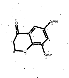 CSc1cc(SC)c2c(c1)C(=O)CCO2